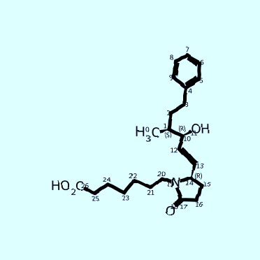 C[C@@H](CCc1ccccc1)[C@@H](O)C=C[C@H]1CCC(=O)N1CCCCCCC(=O)O